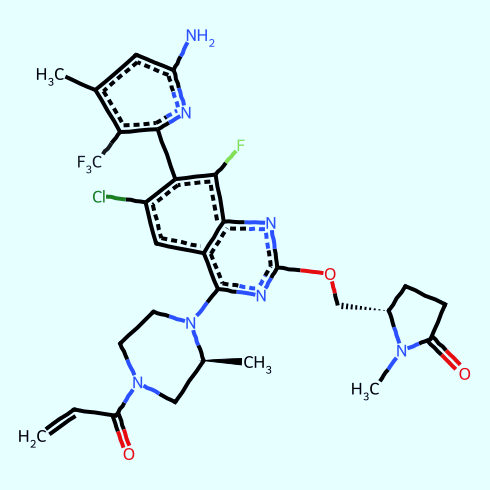 C=CC(=O)N1CCN(c2nc(OC[C@@H]3CCC(=O)N3C)nc3c(F)c(-c4nc(N)cc(C)c4C(F)(F)F)c(Cl)cc23)[C@@H](C)C1